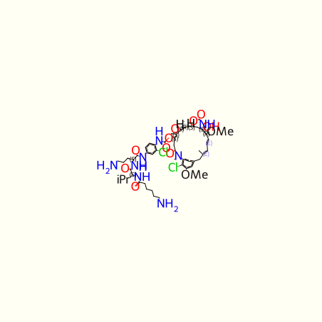 COc1cc2cc(c1Cl)N(C)C(=O)C[C@H](OC(=O)Nc1ccc(NC(=O)[C@H](CCCN)NC(=O)[C@@H](NC(=O)CCCCCN)C(C)C)cc1Cl)[C@]1(C)O[C@H]1[C@H](C)[C@@H]1C[C@@](O)(NC(=O)O1)[C@H](OC)/C=C/C=C(\C)C2